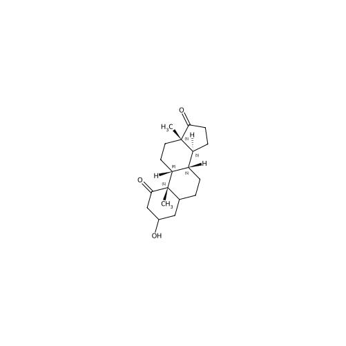 C[C@]12C(=O)CC(O)CC1CC[C@@H]1[C@H]2CC[C@]2(C)C(=O)CC[C@@H]12